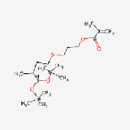 C=C(C)C(=O)OCCCOCCC(C)[SiH](O[Si](C)(C)C)O[Si](C)(C)C